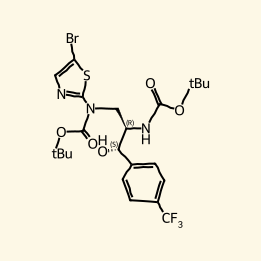 CC(C)(C)OC(=O)N[C@H](CN(C(=O)OC(C)(C)C)c1ncc(Br)s1)[C@@H](O)c1ccc(C(F)(F)F)cc1